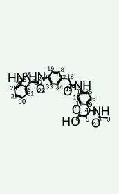 CC(=O)NC(CC(=O)O)c1ccc(NC(=O)Cc2ccc(NC(=O)C3CNc4ccccc43)cc2)cc1